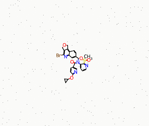 CS(=O)(=O)c1ncccc1N(Cc1ccc2c3c(c(Br)nc2c1)COC3)C(=O)c1ccc(OC2CC2)nc1